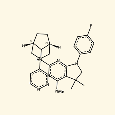 CNc1nc(NC2[C@@H]3CC[C@H]2CN(c2ccnnc2)C3)nc2c1C(C)(C)CN2c1ccc(F)cc1